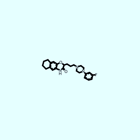 O=C1Nc2cc3c(cc2OC1CCCN1CCN(c2cccc(F)c2)CC1)CCCC3